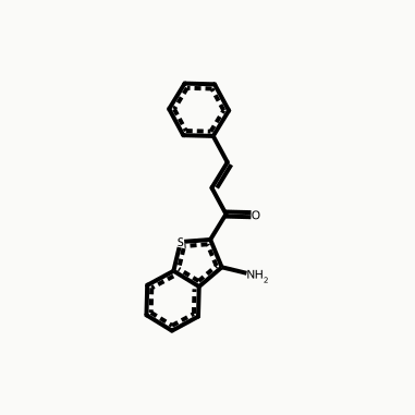 Nc1c(C(=O)C=Cc2ccccc2)sc2ccccc12